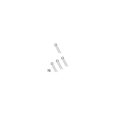 [C]=O.[C]=O.[C]=O.[C]=O.[Ni]